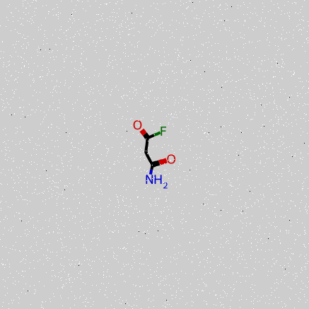 NC(=O)CC(=O)F